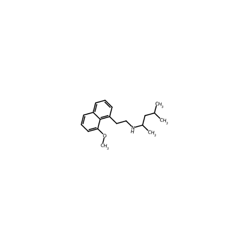 COc1cccc2cccc(CCNC(C)CC(C)C)c12